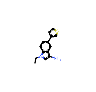 CCn1cc(N)c2cc(-c3ccsc3)ccc21